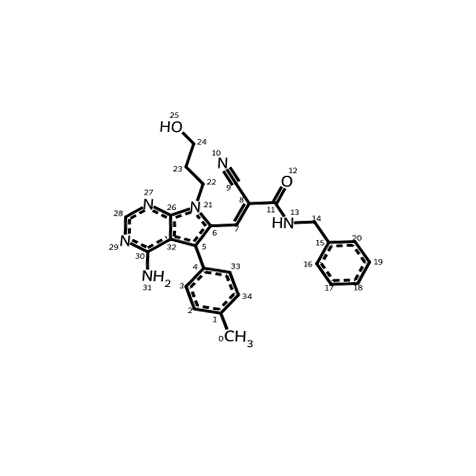 Cc1ccc(-c2c(/C=C(\C#N)C(=O)NCc3ccccc3)n(CCCO)c3ncnc(N)c23)cc1